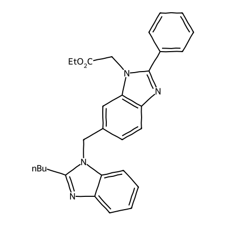 CCCCc1nc2ccccc2n1Cc1ccc2nc(-c3ccccc3)n(CC(=O)OCC)c2c1